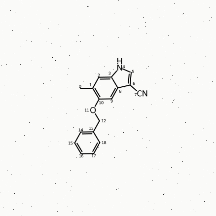 Cc1cc2[nH]cc(C#N)c2cc1OCc1ccccc1